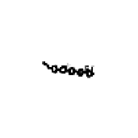 C=CCCC1CCC(C2CCC(c3ccc(-c4ccc(-c5ccc(C)c(F)c5F)cc4)cc3F)CC2)CC1